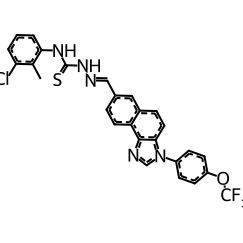 Cc1c(Cl)cccc1NC(=S)N/N=C/c1ccc2c(ccc3c2ncn3-c2ccc(OC(F)(F)F)cc2)c1